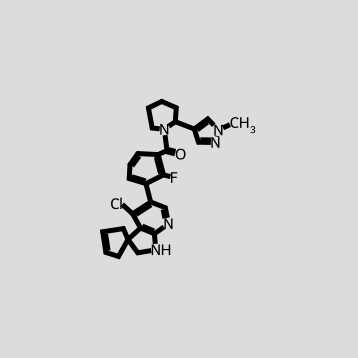 Cn1cc(C2CCCCN2C(=O)c2cccc(-c3cnc4c(c3Cl)C3(CC=CC3)CN4)c2F)cn1